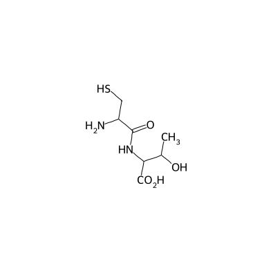 CC(O)C(NC(=O)C(N)CS)C(=O)O